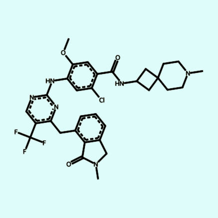 COc1cc(C(=O)NC2CC3(CCN(C)CC3)C2)c(Cl)cc1Nc1ncc(C(F)(F)F)c(Cc2cccc3c2C(=O)N(C)C3)n1